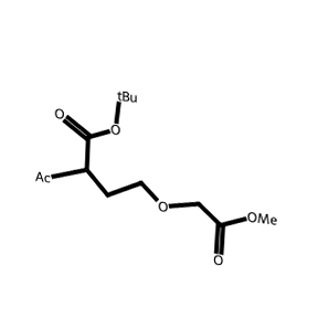 COC(=O)COCCC(C(C)=O)C(=O)OC(C)(C)C